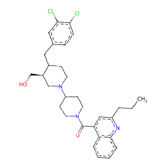 CCCc1cc(C(=O)N2CCC(N3CCC(Cc4ccc(Cl)c(Cl)c4)[C@H](CO)C3)CC2)c2ccccc2n1